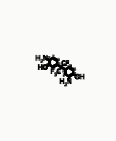 Nc1cc(C(c2ccc(N)c(O)c2)(C(F)(F)F)C(F)(F)F)ccc1O